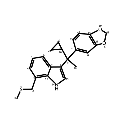 CSCc1cccc2c(C(C)(c3ccc4c(c3)OCO4)C3CC3)c[nH]c12